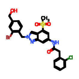 CS(=O)(=O)c1cc(NC(=O)Cc2ccccc2Cl)cc2nn(Cc3ccc(CO)cc3Br)cc12